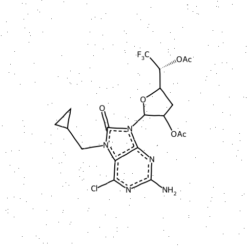 CC(=O)OC1CC([C@@H](OC(C)=O)C(F)(F)F)OC1n1c(=O)n(CC2CC2)c2c(Cl)nc(N)nc21